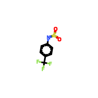 O=S(=O)=Nc1ccc(C(F)(F)F)cc1